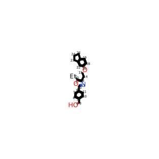 CCc1oc(-c2ccc(CO)cc2)nc1CCOc1ccc2c(c1)CCC2